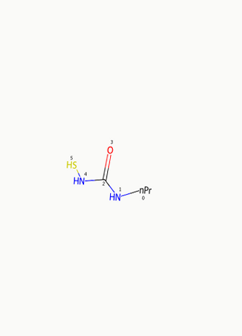 [CH2]CCNC(=O)NS